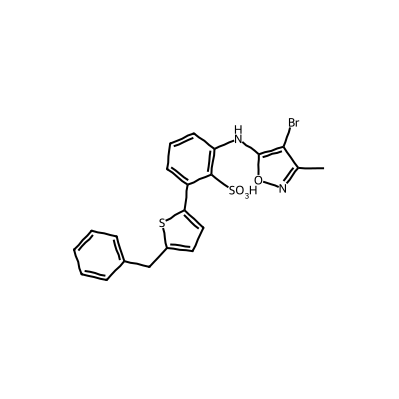 Cc1noc(Nc2cccc(-c3ccc(Cc4ccccc4)s3)c2S(=O)(=O)O)c1Br